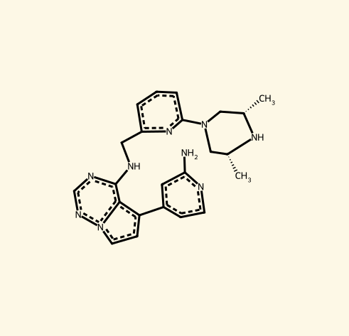 C[C@@H]1CN(c2cccc(CNc3ncnn4ccc(-c5ccnc(N)c5)c34)n2)C[C@H](C)N1